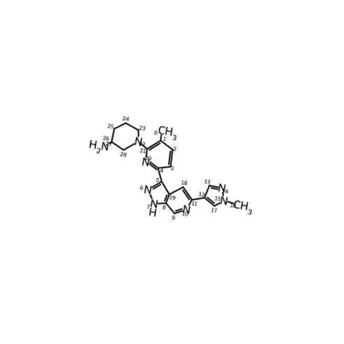 Cc1ccc(-c2n[nH]c3cnc(-c4cnn(C)c4)cc23)nc1N1CCC[C@H](N)C1